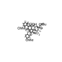 COc1ccc(Cn2c(=O)c([N+](=O)[O-])c(N3C[C@@H](C)N(C(=O)OC(C)(C)C)C[C@@H]3CO)c3cc(Cl)c(-c4c(F)cccc4OC)c(F)c32)cc1